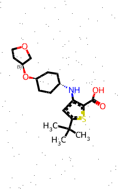 CC(C)(C)c1cc(N[C@H]2CC[C@H](O[C@H]3CCOC3)CC2)c(C(=O)O)s1